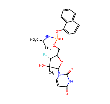 CC(NP(=O)(OC[C@H]1O[C@@H](n2ccc(=O)[nH]c2=O)[C@](C)(O)[C@@H]1F)Oc1cccc2ccccc12)C(=O)O